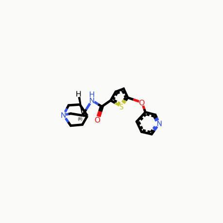 O=C(N[C@H]1CN2CCC1CC2)c1ccc(Oc2cccnc2)s1